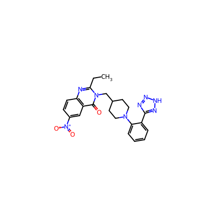 CCc1nc2ccc([N+](=O)[O-])cc2c(=O)n1CC1CCN(c2ccccc2-c2nn[nH]n2)CC1